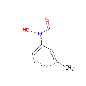 [CH2]c1cccc(N(O)[C]=O)c1